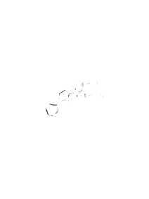 CPN(PC)S(=O)(=O)c1ccn(-c2cccnc2)n1